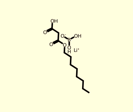 CCCCCCCCOC(=O)CC(=O)O.[Li+].[O-]B(O)O